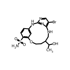 CC(O)C1CCOc2cc(ccc2S(N)(=O)=O)Nc2ncc(Br)c(n2)NC1